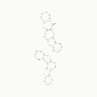 O=c1c2ccccc2sc2cc3oc4c(-n5c6ccccc6c6c7oc8ccccc8c7ccc65)cccc4c3cc12